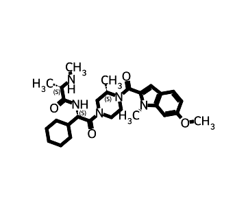 CN[C@@H](C)C(=O)N[C@H](C(=O)N1CCN(C(=O)c2cc3ccc(OC)cc3n2C)[C@@H](C)C1)C1CCCCC1